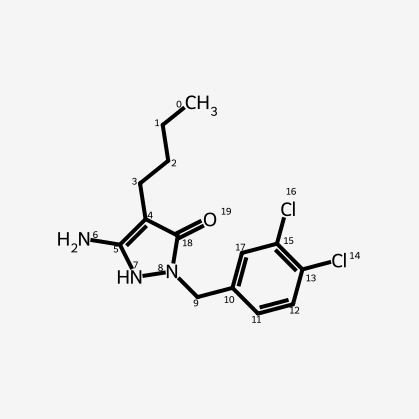 CCCCc1c(N)[nH]n(Cc2ccc(Cl)c(Cl)c2)c1=O